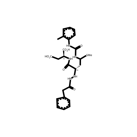 CSC(C[C@H](NNC(=O)Cc1ccccc1)C(=O)N[C@@H](CC(=O)O)C(=O)O)NC(=O)Nc1ccccc1C